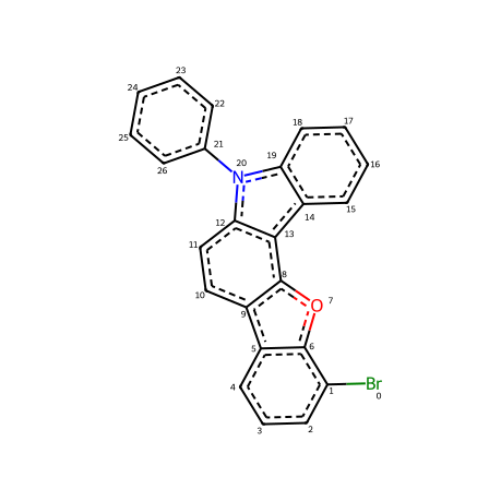 Brc1cccc2c1oc1c2ccc2c1c1ccccc1n2-c1ccccc1